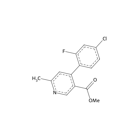 COC(=O)c1cnc(C)cc1-c1ccc(Cl)cc1F